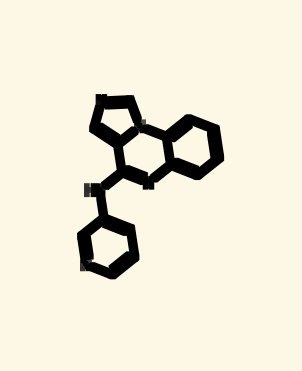 c1cncc(Nc2nc3ccccc3n3cncc23)c1